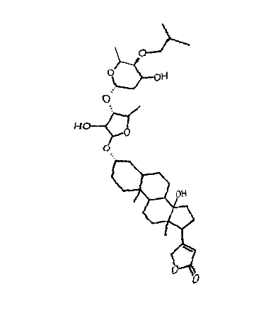 CC(C)CO[C@H]1C(O)C[C@H](O[C@@H]2C(C)OC(O[C@H]3CCC4(C)C(CCC5C4CCC4(C)C(C6=CC(=O)OC6)CCC54O)C3)C2O)OC1C